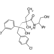 C=CCC(C)(C[C@](CO)(Cc1ccc(Cl)cc1)c1cccc(Cl)c1)C(=O)NC(CO)C(C)C